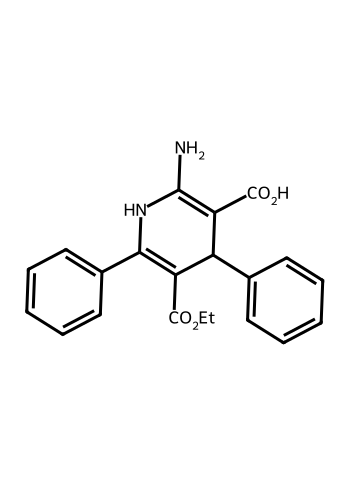 CCOC(=O)C1=C(c2ccccc2)NC(N)=C(C(=O)O)C1c1ccccc1